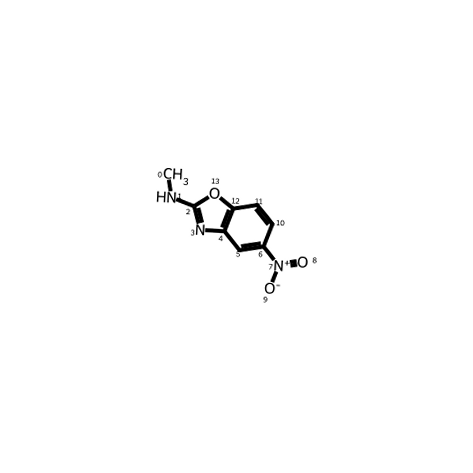 CNc1nc2cc([N+](=O)[O-])ccc2o1